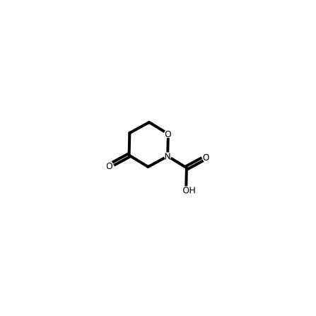 O=C1CCON(C(=O)O)C1